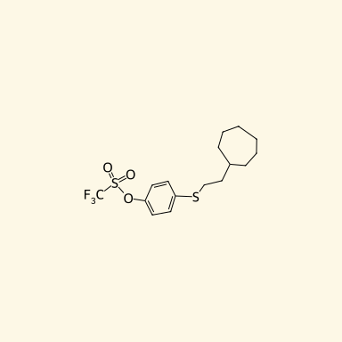 O=S(=O)(Oc1ccc(SCCC2CCCCCC2)cc1)C(F)(F)F